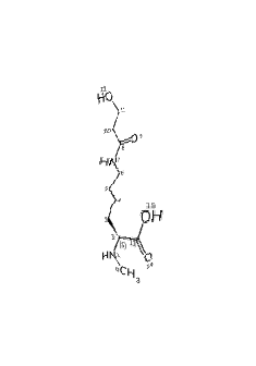 CN[C@@H](CCCCNC(=O)CCO)C(=O)O